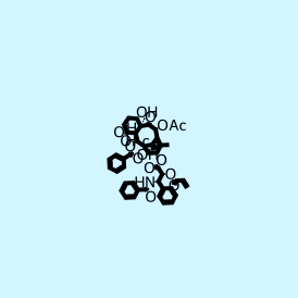 C=CC(=O)O[C@@H](C(=O)O[C@H]1C[C@@]2(O)[C@@H](OC(=O)c3ccccc3)[C@@H]3[C@]4(OC(C)=O)O[C@@H]4C[C@H](O)[C@@]3(C)C(=O)[C@H](OC(C)=O)C(=C1C)C2(C)C)[C@@H](NC(=O)c1ccccc1)c1ccccc1